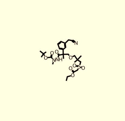 CCOC(=O)CS(=O)(=O)CC(C)(C)COCC(C)(C(=O)NN(C)C(=O)OC(C)(C)C)c1cccc(CC#N)c1